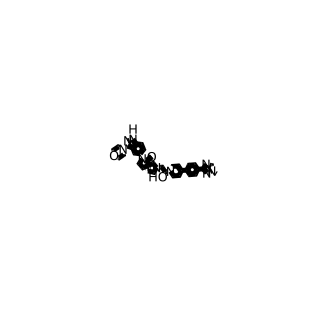 Cn1cnc(-c2ccc(C3=CCN(C(O)CN4CC[C@]5(CCN(c6ccc7[nH]nc(N8CCOCC8)c7c6)C5=O)C4)CC3)cc2)n1